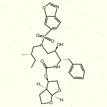 CC[C@H](C)CN(C[C@@H](O)[C@H](Cc1ccccc1)NC(=O)O[C@H]1CO[C@H]2OCC[C@H]21)S(=O)(=O)c1ccc2ncoc2c1